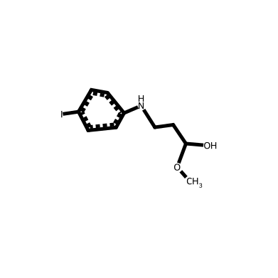 COC(O)CCNc1ccc(I)cc1